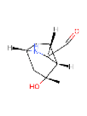 C[C@@]1(O)C[C@@H]2CC[C@H]1[C@@H](C=O)N2